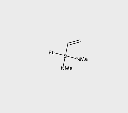 C=C[Si](CC)(NC)NC